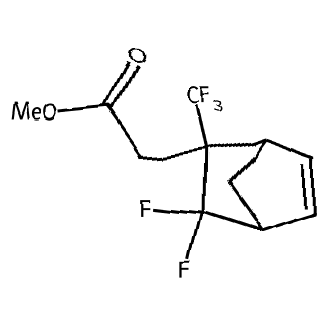 COC(=O)CC1(C(F)(F)F)C2C=CC(C2)C1(F)F